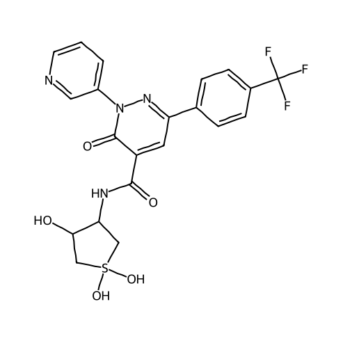 O=C(NC1CS(O)(O)CC1O)c1cc(-c2ccc(C(F)(F)F)cc2)nn(-c2cccnc2)c1=O